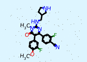 COc1ccc(-c2c(-c3ccc(C#N)c(F)c3)nc(NCC3CCNC3)n(C)c2=O)cc1F